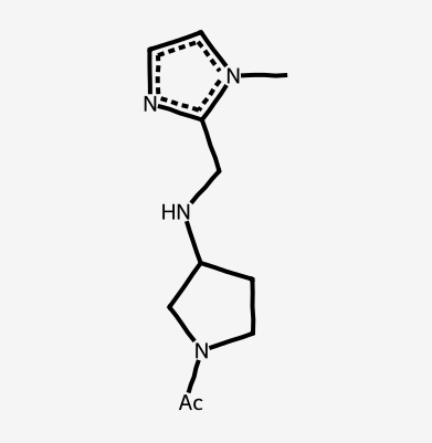 CC(=O)N1CCC(NCc2nccn2C)C1